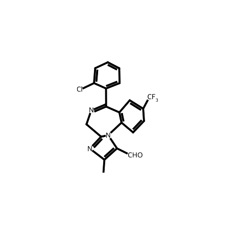 Cc1nc2n(c1C=O)-c1ccc(C(F)(F)F)cc1C(c1ccccc1Cl)=NC2